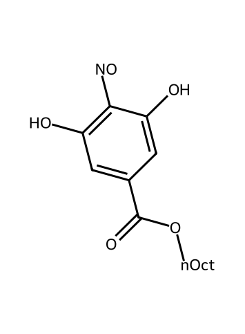 CCCCCCCCOC(=O)c1cc(O)c(N=O)c(O)c1